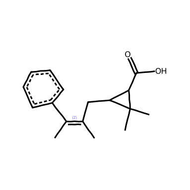 C/C(CC1C(C(=O)O)C1(C)C)=C(\C)c1ccccc1